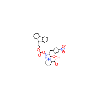 O=C(OCCC1c2ccccc2-c2ccccc21)ON[C@@H](Cc1ccc([N+](=O)[O-])cc1)C(=O)N1CCCCC1C(=O)O